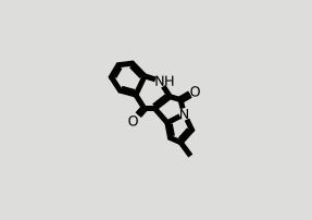 Cc1cc2n(c1)C(=O)c1[nH]c3ccccc3c(=O)c1-2